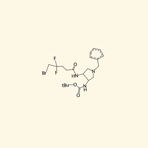 CC(C)(C)OC(=O)NC1CN(Cc2ccccc2)CC1NC(=O)CCC(F)(F)CBr